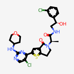 C[C@H](C(=O)NC[C@@H](O)c1cccc(Cl)c1)N1CCc2sc(-c3nc(NC4CCOCC4)ncc3Cl)cc2C1=O